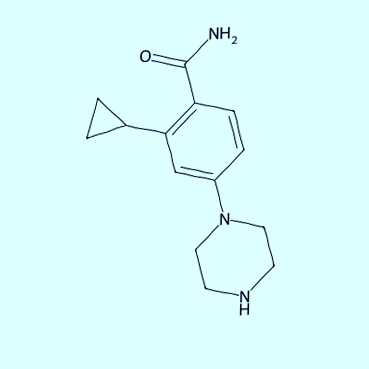 NC(=O)c1ccc(N2CCNCC2)cc1C1CC1